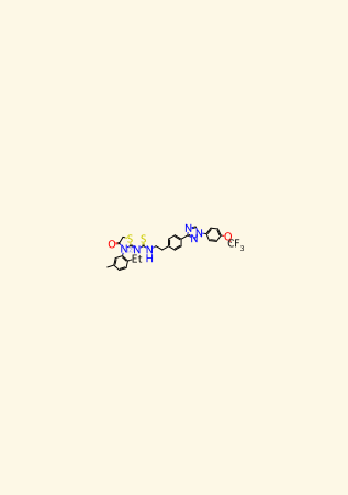 CCc1ccc(C)cc1N1C(=O)CS/C1=N\C(=S)NCCc1ccc(-c2ncn(-c3ccc(OC(F)(F)F)cc3)n2)cc1